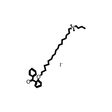 CCCC[N+](C)(C)CCCCCCCCCCCCCCCCCCOc1ccccc1C(=O)c1ccccc1.[I-]